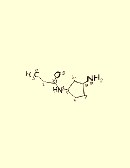 CCC(=O)NC1CCC(N)C1